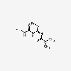 CCCSC(=NC(=O)N(C)C)NC(=O)NC(C)(C)C